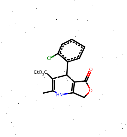 CCOC(=O)C1=C(C)NC2=C(C(=O)OC2)C1c1ccccc1Cl